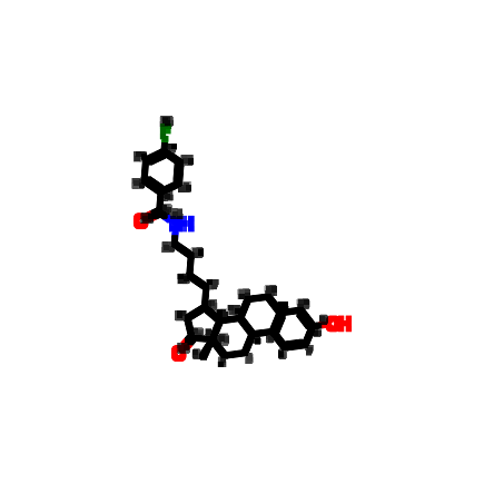 C[C@]12CCC3c4ccc(O)cc4CCC3C1C(CCCCNC(=O)c1ccc(F)cc1)CC2=O